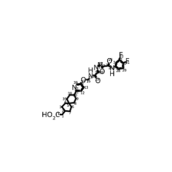 O=C(O)CC1CCC2(CC1)CCC(c1ccc(OCNC(=O)c3nnc(C(=O)Nc4ccc(F)c(F)c4)o3)cn1)CC2